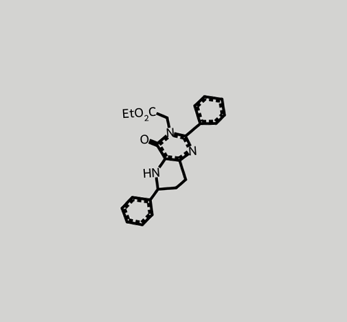 CCOC(=O)Cn1c(-c2ccccc2)nc2c(c1=O)NC(c1ccccc1)CC2